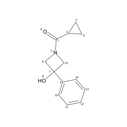 O=C(C1CC1)N1CC(O)(c2ccccc2)C1